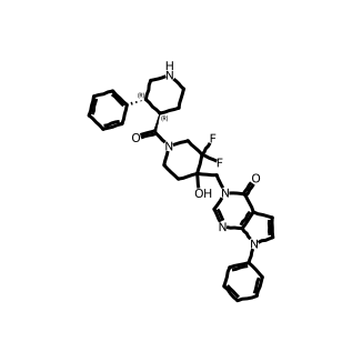 O=C([C@@H]1CCNC[C@H]1c1ccccc1)N1CCC(O)(Cn2cnc3c(ccn3-c3ccccc3)c2=O)C(F)(F)C1